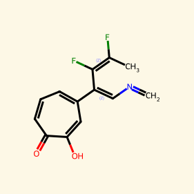 C=N/C=C(\C(F)=C(/C)F)c1cccc(=O)c(O)c1